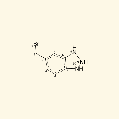 BrCc1ccc2c(c1)NNN2